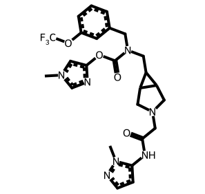 Cn1cnc(OC(=O)N(Cc2cccc(OC(F)(F)F)c2)CC2C3CN(CC(=O)Nc4ccnn4C)CC32)c1